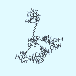 CCc1c(F)c(F)c(F)c(OC(O)CCCCCCCCCCC(=O)NC(COC(=O)CCC/C=C/N[C@H]2C[C@@H](O)[C@@H](O)[C@@H](CO)O2)(COC(=O)CCC/C(=C/N[C@H]2C[C@@H](O)[C@@H](O)[C@@H](CO)O2)N=N)COC(=O)CCC/C(=C/N[C@H]2C[C@@H](O)[C@@H](O)[C@@H](CO)O2)N=N)c1F